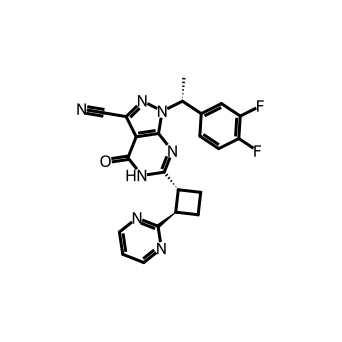 C[C@H](c1ccc(F)c(F)c1)n1nc(C#N)c2c(=O)[nH]c([C@@H]3CC[C@H]3c3ncccn3)nc21